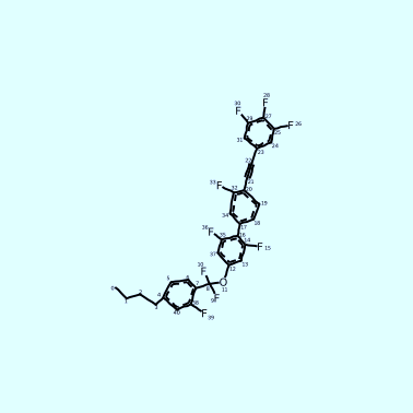 CCCCc1ccc(C(F)(F)Oc2cc(F)c(-c3ccc(C#Cc4cc(F)c(F)c(F)c4)c(F)c3)c(F)c2)c(F)c1